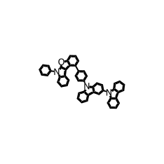 c1ccc(-n2c3ccccc3c3c4c(-c5ccc(-n6c7ccccc7c7cc(-n8c9ccccc9c9ccccc98)ccc76)cc5)cccc4oc32)cc1